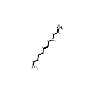 C=CCCCC=CCOCC=C